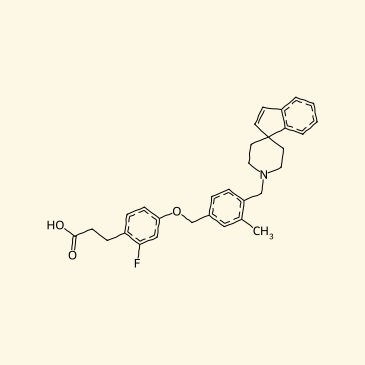 Cc1cc(COc2ccc(CCC(=O)O)c(F)c2)ccc1CN1CCC2(C=Cc3ccccc32)CC1